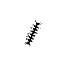 O=C(F)C(F)(F)C(F)(F)C(F)(F)C(F)(F)C(F)(F)C(F)(F)C(=O)F